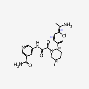 C=C(/C=C\C(Cl)=C(/C)N)[C@@H]1CC[C@@H](C)CN1C(=O)C(=O)Nc1cncc(C(N)=O)c1